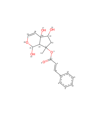 CC1(OC(=O)C=Cc2ccccc2)CC(O)C2(O)C=COC(O)C12